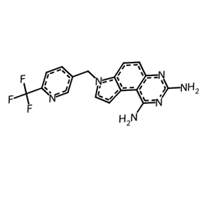 Nc1nc(N)c2c(ccc3c2ccn3Cc2ccc(C(F)(F)F)nc2)n1